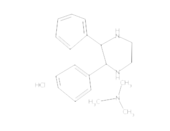 CN(C)C.Cl.c1ccc(C2NCCNC2c2ccccc2)cc1